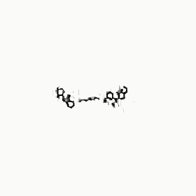 CCCC(=O)NC(c1cccc(C(=O)NCCOCCOCNc2cccc3c2C(=O)N(C2CCC(=O)NC2=O)C3=O)c1)c1cc(C(C)(C)C)c2cccnc2c1O